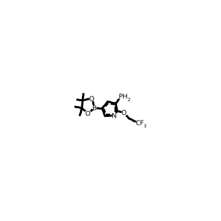 CC1(C)OB(c2cnc(OCC(F)(F)F)c(P)c2)OC1(C)C